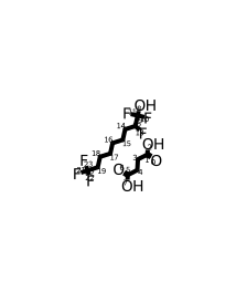 O=C(O)CCC(=O)O.OC(F)(F)C(F)CCCCCCC(F)(F)F